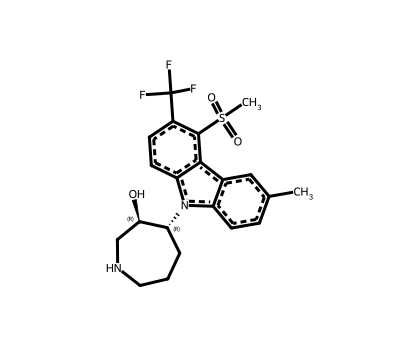 Cc1ccc2c(c1)c1c(S(C)(=O)=O)c(C(F)(F)F)ccc1n2[C@@H]1CCCNC[C@H]1O